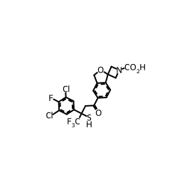 O=C(CC(S)(c1cc(Cl)c(F)c(Cl)c1)C(F)(F)F)c1ccc2c(c1)COC21CN(C(=O)O)C1